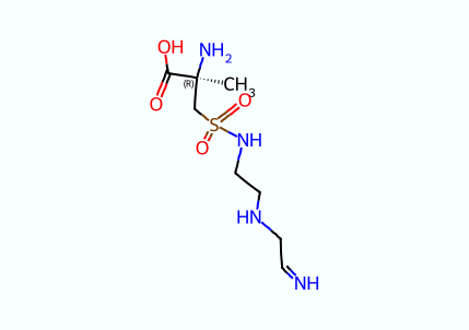 C[C@](N)(CS(=O)(=O)NCCNCC=N)C(=O)O